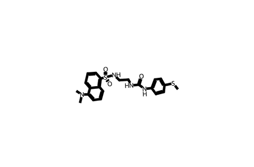 CSc1ccc(NC(=O)NCCNS(=O)(=O)c2cccc3c(N(C)C)cccc23)cc1